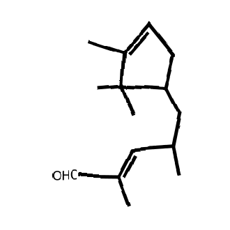 CC(C=O)=CC(C)CC1CC=C(C)C1(C)C